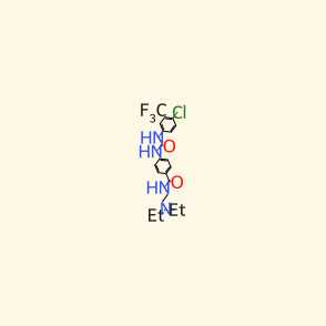 CCN(CC)CCNC(=O)c1ccc(NC(=O)Nc2ccc(Cl)c(C(F)(F)F)c2)cc1